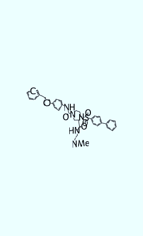 CNCCNC(=O)C1CN(C(=O)Nc2ccc(OCc3ccccc3)cc2)CCN1S(=O)(=O)c1ccc(-c2ccccc2)cc1